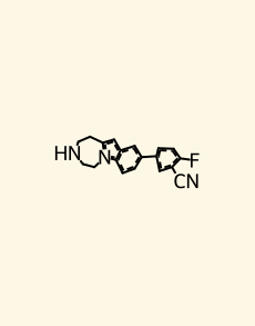 N#Cc1cc(-c2ccc3c(c2)cc2n3CCNCC2)ccc1F